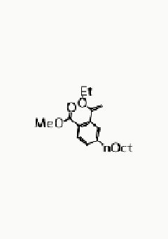 C=C(OCC)c1cc(CCCCCCCC)ccc1C(=O)OC